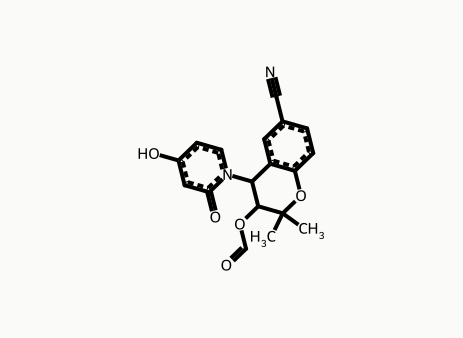 CC1(C)Oc2ccc(C#N)cc2C(n2ccc(O)cc2=O)C1OC=O